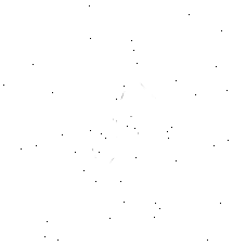 CCC1(NC2(CC)C=CC=CC2)C=CC=CC1